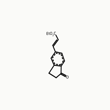 CCOC(=O)/C=C/c1ccc2c(c1)CCC2=O